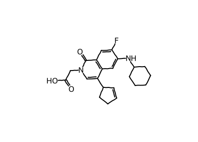 O=C(O)Cn1cc(C2C=CCC2)c2cc(NC3CCCCC3)c(F)cc2c1=O